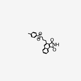 Cc1ccc(S(=O)(=O)CCCc2cc3ccccc3c3c2C(=O)NC3=O)cc1